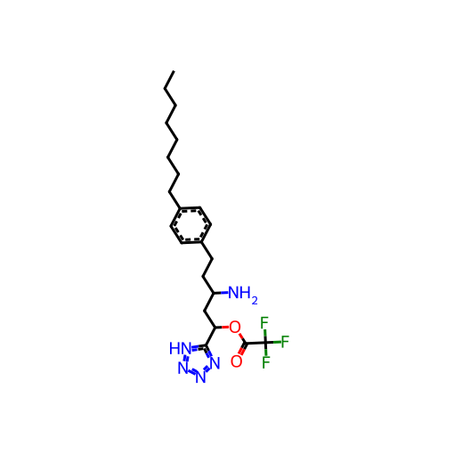 CCCCCCCCc1ccc(CCC(N)CC(OC(=O)C(F)(F)F)c2nnn[nH]2)cc1